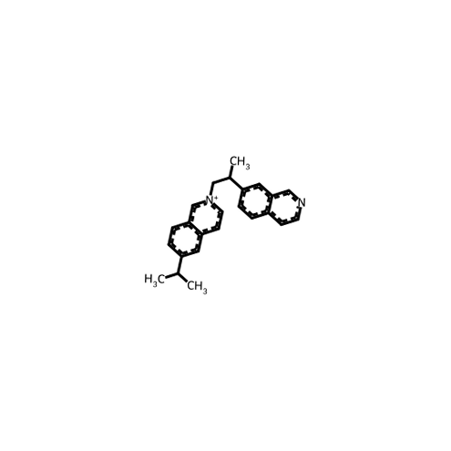 CC(C)c1ccc2c[n+](CC(C)c3ccc4ccncc4c3)ccc2c1